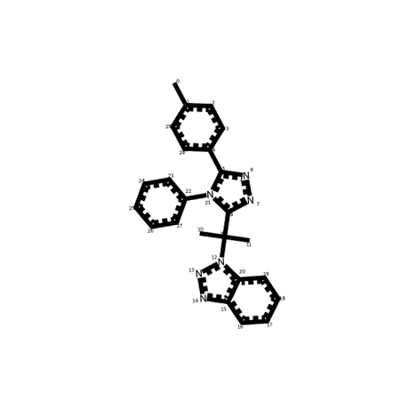 Cc1ccc(-c2nnc(C(C)(C)n3nnc4ccccc43)n2-c2ccccc2)cc1